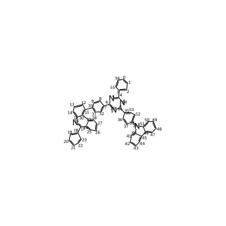 c1ccc(-c2nc(-c3ccc(-c4cccc5nc(-c6ccccc6)c6ccccc6c45)cc3)nc(-c3ccc(-n4c5ccccc5c5ccccc54)cc3)n2)cc1